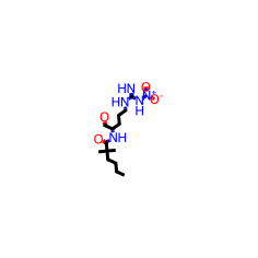 CCCCC(C)(C)C(=O)NC(C=O)CCCNC(=N)N[N+](=O)[O-]